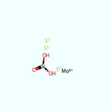 O=[Si](O)O.[Mo+6].[S-2].[S-2].[S-2]